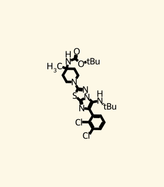 CC(C)(C)Nc1c(-c2cccc(Cl)c2Cl)nc2sc(N3CCC(C)(NC(=O)OC(C)(C)C)CC3)nn12